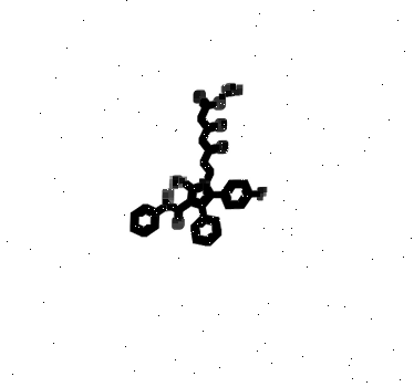 CC(C)c1c(C(=O)Nc2ccccc2)c(-c2ccccc2)c(-c2ccc(F)cc2)n1CCC(=O)CC(=O)CC(=O)OC(C)(C)C